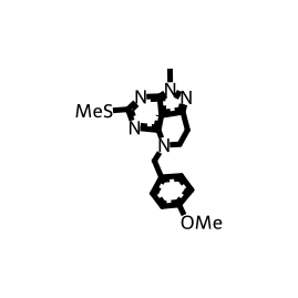 COc1ccc(CN2CCc3nn(C)c4nc(SC)nc2c34)cc1